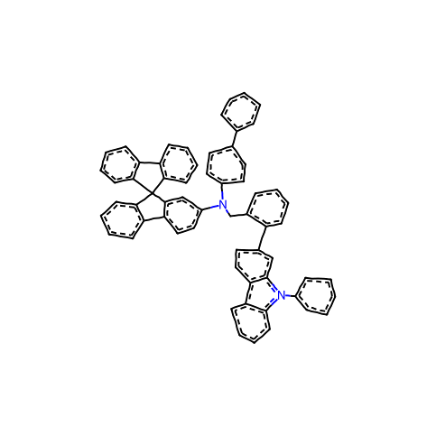 c1ccc(-c2ccc(N(Cc3ccccc3-c3ccc4c5ccccc5n(-c5ccccc5)c4c3)c3ccc4c(c3)C3(c5ccccc5-c5ccccc53)c3ccccc3-4)cc2)cc1